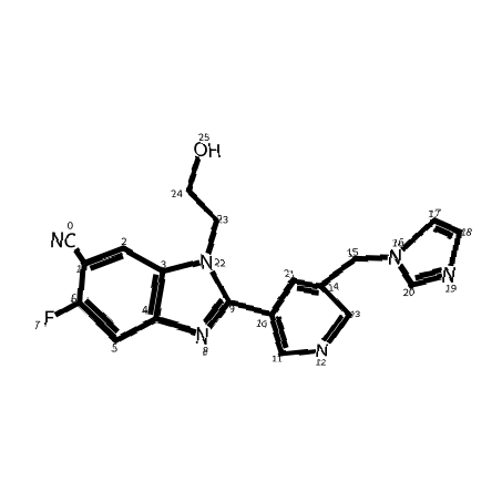 N#Cc1cc2c(cc1F)nc(-c1cncc(Cn3ccnc3)c1)n2CCO